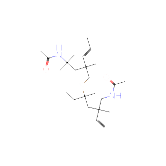 C=CC(C)(CNC(C)=O)CC(C)(CC)SCC(C)(C=CC)CC(C)(C)NC(C)=O